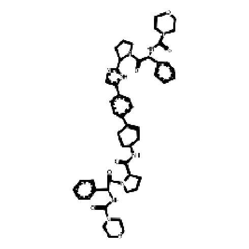 O=C(NC1CC=C(c2ccc(-c3cnc(C4CCCN4C(=O)[C@H](NC(=O)N4CCOCC4)c4ccccc4)[nH]3)cc2)CC1)C1CCCN1C(=O)[C@@H](NC(=O)N1CCOCC1)c1ccccc1